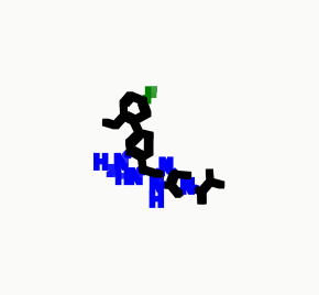 C=C(C(C)C)N1Cc2nc(C(=N)c3ccc(-c4cc(F)ccc4CC)cc3N)[nH]c2C1